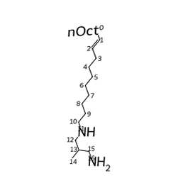 CCCCCCCCC=CCCCCCCCCNCC(C)CN